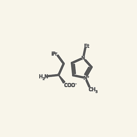 CC(C)C[C@H](N)C(=O)[O-].CCn1cc[n+](C)c1